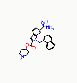 CN1CCC(OC(=O)c2cc3ccc(C(=N)N)cc3n2Cc2cccc3ccccc23)CC1